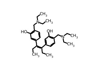 CCC(=C(CC)c1ccc(CN(CC)CC)c(O)c1)c1ccc(CN(CC)CC)c(O)c1